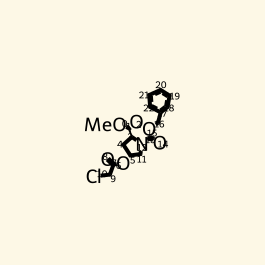 COC(=O)[C@@H]1C[C@H](OC(=O)CCl)CN1C(=O)OCc1ccccc1